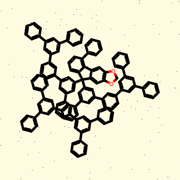 c1ccc(-c2cc(-c3ccccc3)cc(-c3cccc(-c4cc(-c5cccc(-c6cc(-c7ccccc7)cc(-c7ccccc7)c6)c5)cc(C5(c6cc(-c7cccc(-c8cc(-c9ccccc9)cc(-c9ccccc9)c8)c7)cc(-c7cccc(-c8cc(-c9ccccc9)cc(-c9ccccc9)c8)c7)c6)c6cc7c(cc6-c6c(-c8ccccc8)cccc65)OCO7)c4)c3)c2)cc1